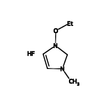 CCON1C=CN(C)C1.F